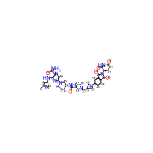 Cc1cc(Nc2nc(N3CCC[C@@H](NC(=O)C4CCN(CC5CN(c6ccc7c(c6)C(=O)N(C6CCC(=O)NC6=O)C7=O)C5)C4)C3)cnc2C(N)=O)sn1